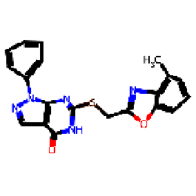 Cc1cccc2oc(CSc3nc4c(cnn4-c4ccccc4)c(=O)[nH]3)nc12